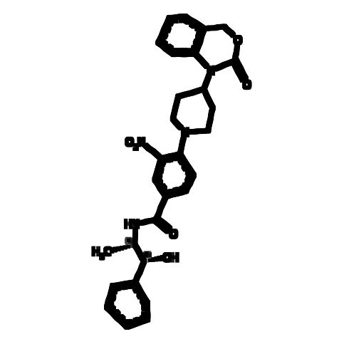 C[C@H](NC(=O)c1ccc(N2CCC(N3C(=O)OCc4ccccc43)CC2)c([N+](=O)[O-])c1)[C@H](O)c1ccccc1